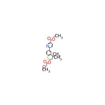 CCOC(=O)c1ccc(-c2ccc3c(c2)C(C)(C)CC(OC(=O)COC)S3)nc1